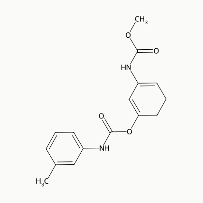 COC(=O)NC1=CCCC(OC(=O)Nc2cccc(C)c2)=C1